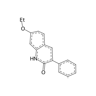 CCOc1ccc2cc(-c3c[c]ccc3)c(=O)[nH]c2c1